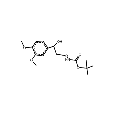 COc1ccc(C(O)CONC(=O)OC(C)(C)C)cc1OC